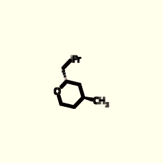 CC(C)C[C@@H]1C[C@@H](C)CCO1